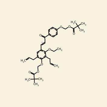 C=CCc1cc(/C=C/C(=O)c2ccc(OCOC(=O)C(C)(C)C)cc2)c(OCC)c(CC=C)c1OCOC(=O)C(C)(C)C